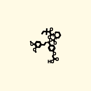 CCC(C)(C)C(=O)C(=O)N1CCCC[C@H]1C(=O)O[C@@H](CCc1ccc(OC)c(OC)c1)c1ccc(OCC(=O)O)cc1